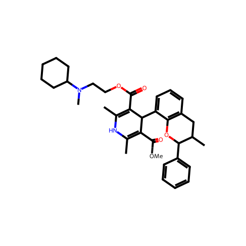 COC(=O)C1=C(C)NC(C)=C(C(=O)OCCN(C)C2CCCCC2)C1c1cccc2c1OC(c1ccccc1)C(C)C2